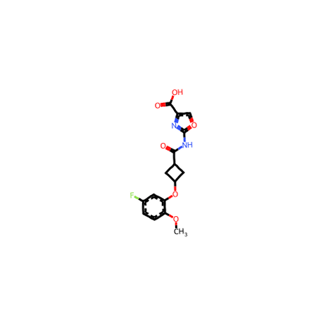 COc1ccc(F)cc1OC1CC(C(=O)Nc2nc(C(=O)O)co2)C1